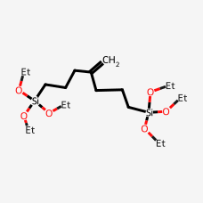 C=C(CCC[Si](OCC)(OCC)OCC)CCC[Si](OCC)(OCC)OCC